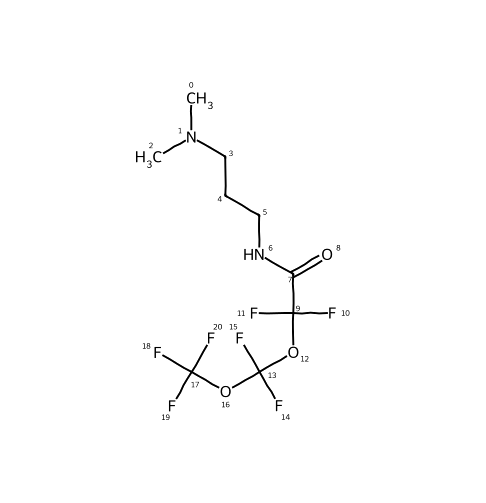 CN(C)CCCNC(=O)C(F)(F)OC(F)(F)OC(F)(F)F